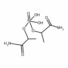 CC([O][Ti](=[O])([OH])([OH])[O]C(C)C(N)=O)C(N)=O